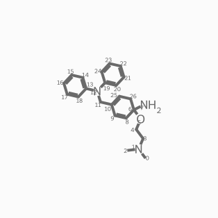 CN(C)CCOC1(N)C=CC(CN(c2ccccc2)c2ccccc2)=CC1